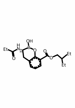 CCC(=O)N[C@H]1Cc2cccc(C(=O)OCC(CC)CC)c2OB1O